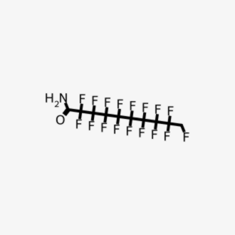 NC(=O)C(F)(F)C(F)(F)C(F)(F)C(F)(F)C(F)(F)C(F)(F)C(F)(F)C(F)(F)CF